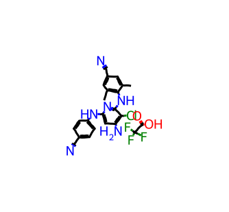 Cc1cc(C#N)cc(C)c1Nc1nc(Nc2ccc(C#N)cc2)cc(N)c1Cl.O=C(O)C(F)(F)F